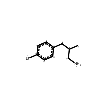 CCc1ccc(CC(C)CN)cc1